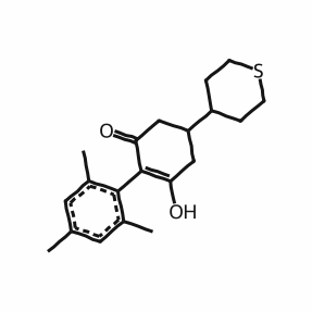 Cc1cc(C)c(C2=C(O)CC(C3CCSCC3)CC2=O)c(C)c1